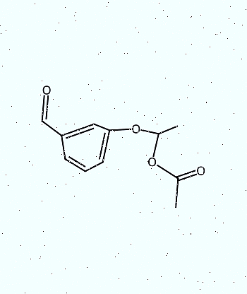 CC(=O)OC(C)Oc1cccc(C=O)c1